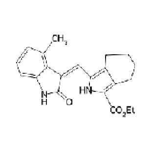 CCOC(=O)c1[nH]c(/C=C2\C(=O)Nc3cccc(C)c32)c2c1CCCC2